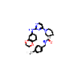 Cc1ccc(CNC(=O)[C@H]2CCCN(c3ccnc(Nc4ccc5c(c4)OCCO5)n3)C2)cc1